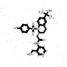 O=C(C[C@@H]1CCc2cc(C(O)(C(F)(F)F)C(F)(F)F)ccc2N1S(=O)(=O)c1ccc(F)cc1)Nc1ccncc1CO